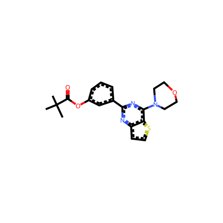 CC(C)(C)C(=O)Oc1cccc(-c2nc(N3CCOCC3)c3sccc3n2)c1